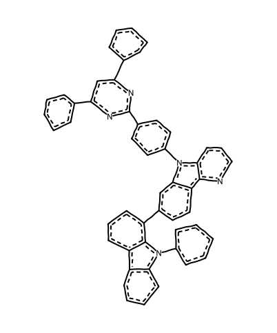 c1ccc(-c2cc(-c3ccccc3)nc(-c3ccc(-n4c5cc(-c6cccc7c8ccccc8n(-c8ccccc8)c67)ccc5c5ncccc54)cc3)n2)cc1